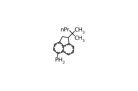 CCCC(C)(C)C1Cc2ccc(P)c3cccc1c23